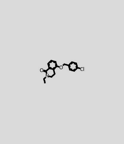 CCN1CCc2c(OCc3ccc(Cl)cc3)cccc2C1=O